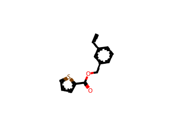 C=Cc1cccc(COC(=O)c2cccs2)c1